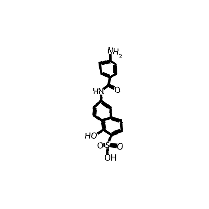 Nc1ccc(C(=O)Nc2ccc3c(O)c(S(=O)(=O)O)ccc3c2)cc1